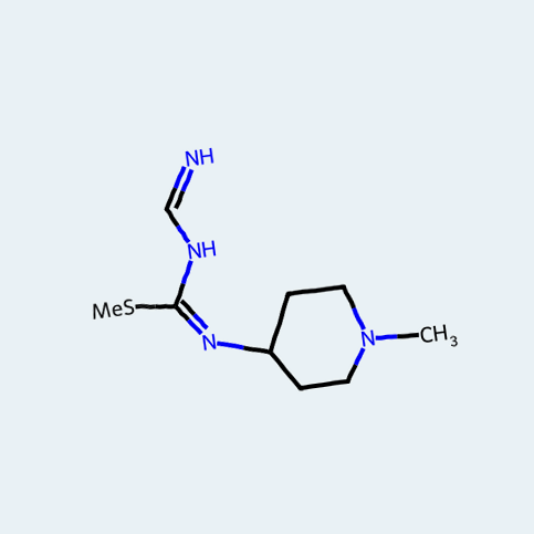 CSC(=NC1CCN(C)CC1)NC=N